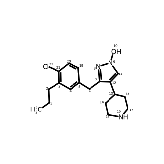 CCCc1cc(Cc2nn(O)cc2C2CCNCC2)ccc1Cl